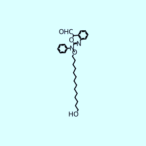 O=CC1OC(N(OCCCCCCCCCCCCCCO)c2ccccc2)=Nc2ccccc21